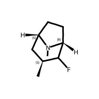 C[C@H]1C[C@@H]2CC[C@H](C1F)N2C